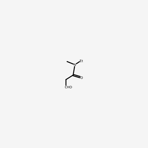 CCN(C)C(=O)C[C]=O